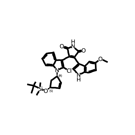 COc1ccc2[nH]cc(C3=C(c4c(Cl)n([C@H]5C=C[C@@H](O[Si](C)(C)C(C)(C)C)C5)c5ccccc45)C(=O)NC3=O)c2c1